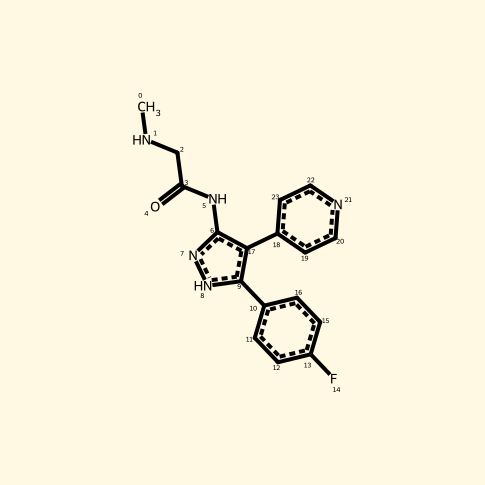 CNCC(=O)Nc1n[nH]c(-c2ccc(F)cc2)c1-c1ccncc1